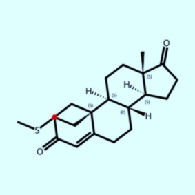 CSCC[C@]12CCC(=O)C=C1CC[C@@H]1[C@@H]2CC[C@]2(C)C(=O)CC[C@@H]12